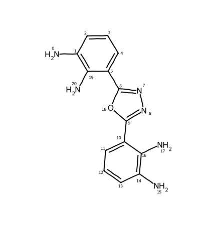 Nc1cccc(-c2nnc(-c3cccc(N)c3N)o2)c1N